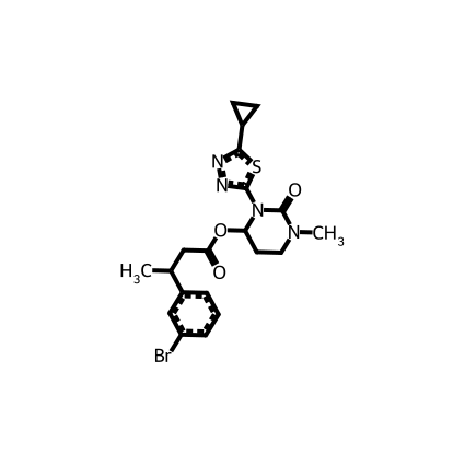 CC(CC(=O)OC1CCN(C)C(=O)N1c1nnc(C2CC2)s1)c1cccc(Br)c1